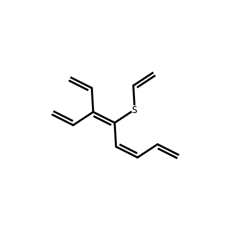 C=C/C=C\C(SC=C)=C(C=C)C=C